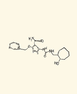 NC(=O)c1c(OCc2cccnc2)nsc1NC(=O)NCC1CCCCCC1O